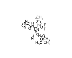 CSc1ccc(OC(F)F)c(-c2nn(C3(CC#N)CN(C(=O)OC(C)(C)C)C3)cc2NC(=O)c2cnn3cccnc23)c1